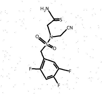 N#CCN(CC(N)=S)S(=O)(=O)Cc1cc(F)c(F)cc1F